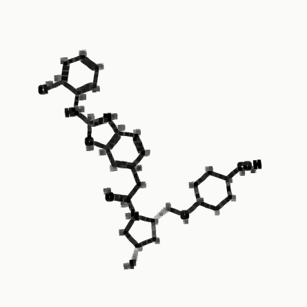 O=C(O)C1CCC(OC[C@@H]2C[C@H](F)CN2C(=O)Cc2ccc3nc(Nc4ccccc4Cl)oc3c2)CC1